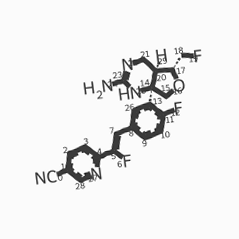 N#Cc1ccc(/C(F)=C/c2ccc(F)c([C@@]34CO[C@@H](CF)[C@@H]3CN=C(N)N4)c2)nc1